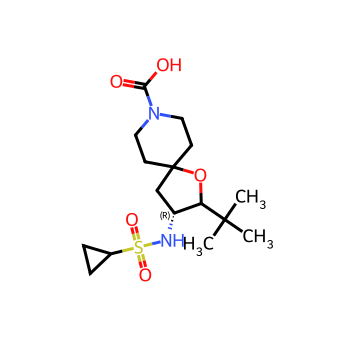 CC(C)(C)C1OC2(CCN(C(=O)O)CC2)C[C@H]1NS(=O)(=O)C1CC1